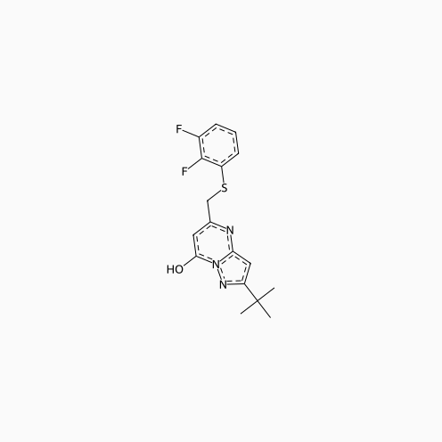 CC(C)(C)c1cc2nc(CSc3cccc(F)c3F)cc(O)n2n1